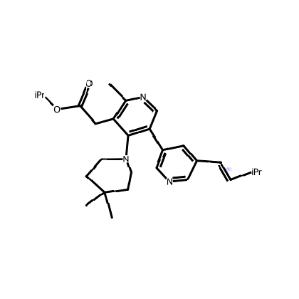 Cc1ncc(-c2cncc(/C=C/C(C)C)c2)c(N2CCC(C)(C)CC2)c1CC(=O)OC(C)C